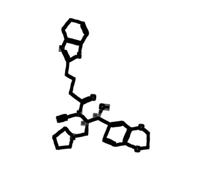 C#CN(C(=O)CCCc1nc2c(s1)C=CCC2)[C@H](CN1CCCC1)[C@H](O)c1ccc2c(c1)OCCO2